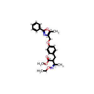 CCO/N=C(/C)C(Cc1ccc(OCc2nc(-c3ccccc3)oc2C)cc1)C(=O)OC